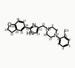 Fc1ccccc1N1CCN(Cc2c[nH]c(-c3ccc4c(c3)CCO4)n2)CC1